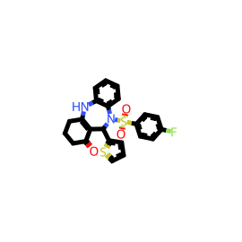 O=C1CCCC2=C1C(c1cccs1)N(S(=O)(=O)c1ccc(F)cc1)c1ccccc1N2